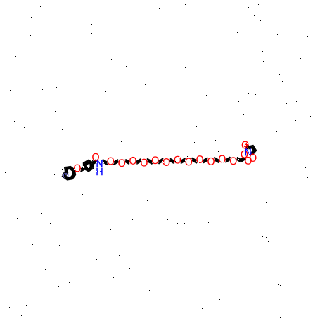 O=C(CCOCCOCCOCCOCCOCCOCCOCCOCCOCCOCCOCCOCCNC(=O)c1ccc(COC2CC/C=C/CCC2)cc1)ON1C(=O)CCC1=O